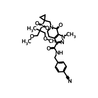 COCC(C)(COC)S(=O)(=O)C1(CN2CCc3c(C(=O)NCc4ccc(C#N)cc4)nn(C)c3C2=O)CC1